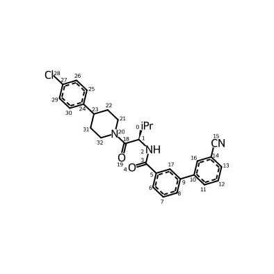 CC(C)[C@@H](NC(=O)c1cccc(-c2cccc(C#N)c2)c1)C(=O)N1CCC(c2ccc(Cl)cc2)CC1